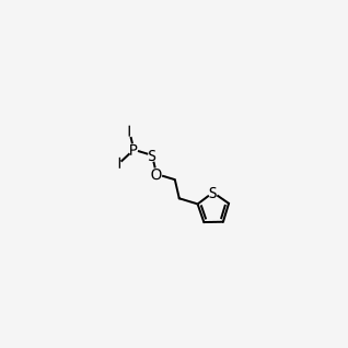 IP(I)SOCCc1cccs1